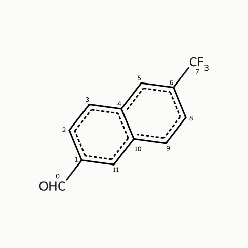 O=Cc1ccc2cc(C(F)(F)F)ccc2c1